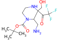 CC(C)(C)OC(=O)N1CCNC(CO)(C(=O)C(F)(F)F)C1CN